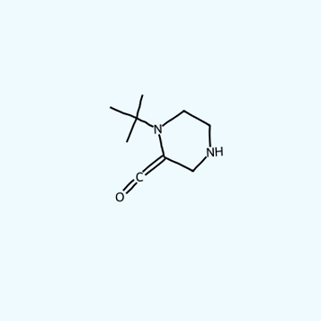 CC(C)(C)N1CCNCC1=C=O